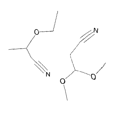 CCOC(C)C#N.COC(CC#N)OC